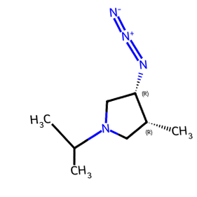 CC(C)N1C[C@@H](C)[C@@H](N=[N+]=[N-])C1